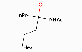 CCCCCCCCC([O])(CCC)NC(C)=O